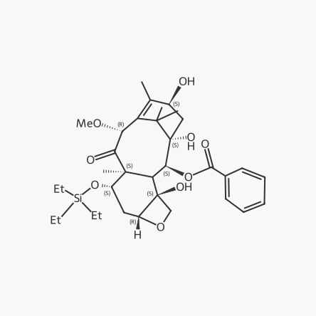 CC[Si](CC)(CC)O[C@H]1C[C@H]2OC[C@@]2(O)C2[C@H](OC(=O)c3ccccc3)[C@]3(O)C[C@H](O)C(C)=C([C@@H](OC)C(=O)[C@@]21C)C3(C)C